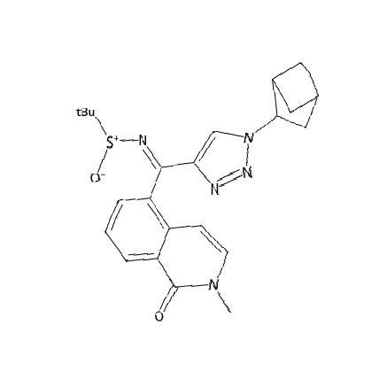 Cn1ccc2c(/C(=N\[S+]([O-])C(C)(C)C)c3cn(C4CC5CC4C5)nn3)cccc2c1=O